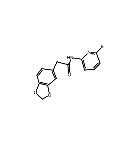 O=C(Cc1ccc2c(c1)OCO2)Nc1cccc(Br)n1